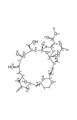 C=C1C[C@@H]2C[C@@H]3CCO[C@H](/C=C/[C@H](C)[C@]4(O)O[C@@H](C/C(=C\C(=O)OC)[C@@H]4OC(C)=O)C[C@H](CO)OC(=O)C[C@H](O)C[C@H](C1)O2)O3